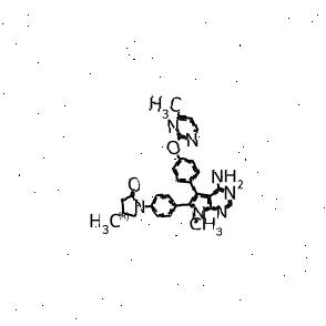 Cc1ccnc(Oc2ccc(-c3c(-c4ccc(N5C[C@H](C)CC5=O)cc4)n(C)c4ncnc(N)c34)cc2)n1